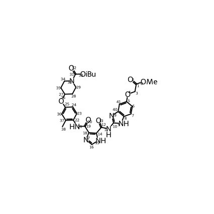 COC(=O)COc1ccc2[nH]c(NC(=O)c3[nH]cnc3C(=O)Nc3ccc(OC4CCN(C(=O)OCC(C)C)CC4)cc3C)nc2c1